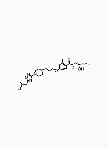 CCN(C)Cc1nc(N2CCC(CCCOc3ccc(C(=O)NC[C@H](O)CO)c(C)c3)CC2)no1